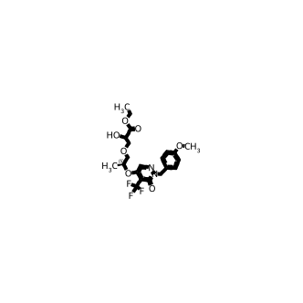 CCOC(=O)C(O)COC[C@H](C)Oc1cnn(Cc2ccc(OC)cc2)c(=O)c1C(F)(F)F